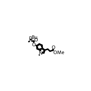 CCCCN(C)C(=O)Oc1ccc2c(CCC(=O)OC)cn(C)c2c1